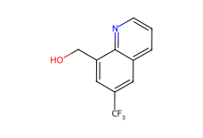 OCc1cc(C(F)(F)F)cc2cccnc12